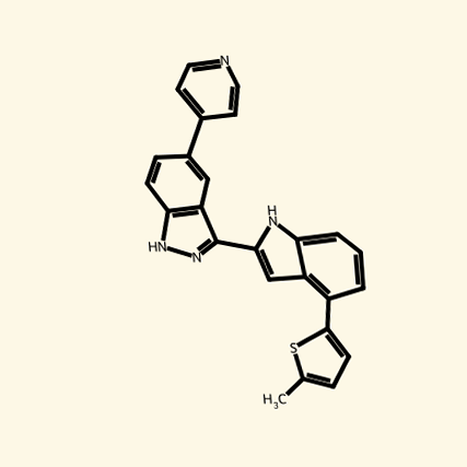 Cc1ccc(-c2cccc3[nH]c(-c4n[nH]c5ccc(-c6ccncc6)cc45)cc23)s1